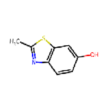 Cc1nc2ccc(O)cc2s1